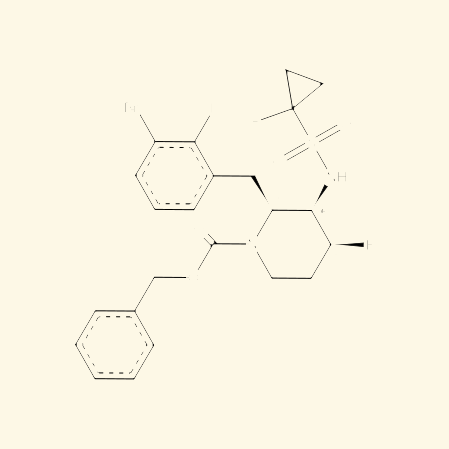 O=C(OCc1ccccc1)N1CC[C@H](F)[C@H](NS(=O)(=O)C2(F)CC2)[C@@H]1Cc1cccc(Br)c1F